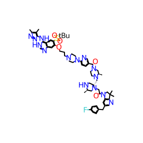 Cc1n[nH]c(Nc2ncnc3cc(OCCCN4CCN(c5ccc(C(=O)N6CCN(C[C@H]7CN[C@H](C)CN7CC(=O)N7CC(C)(C)c8ncc(Cc9ccc(F)cc9)cc87)[C@H](C)C6)cn5)CC4)c(S(=O)(=O)C(C)(C)C)cc23)c1C